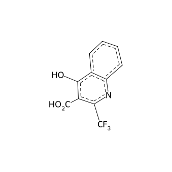 O=C(O)c1c(C(F)(F)F)nc2ccccc2c1O